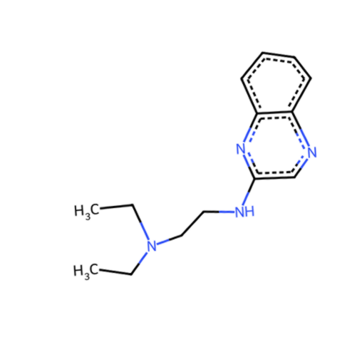 CCN(CC)CCNc1cnc2ccccc2n1